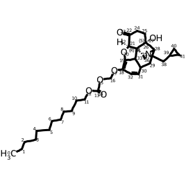 CCCCCCCCCCCCOC(=O)OCOC1=C2O[C@H]3C(=O)CC[C@@]4(O)C5CC(C=C1)C2[C@@]34CCN5CC1CC1